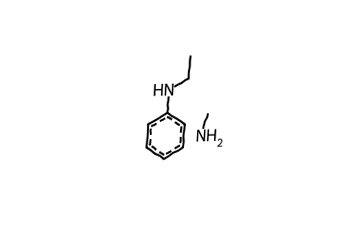 CCNc1ccccc1.CN